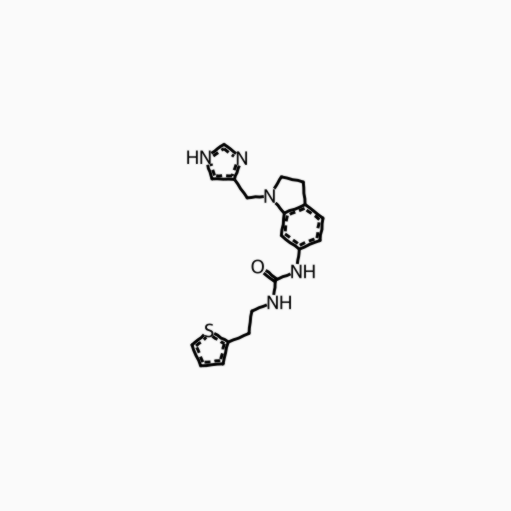 O=C(NCCc1cccs1)Nc1ccc2c(c1)N(Cc1c[nH]cn1)CC2